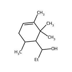 CCC(O)C1C(C)CC=C(C)C1(C)C